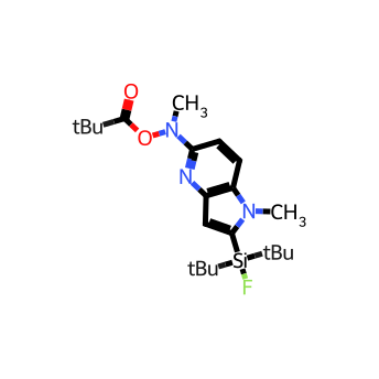 CN(OC(=O)C(C)(C)C)c1ccc2c(cc([Si](F)(C(C)(C)C)C(C)(C)C)n2C)n1